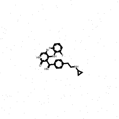 N=C(c1ccc(CCNC2CC2)cc1)c1c(Nc2c(F)cccc2F)c(Br)c[nH]c1=O